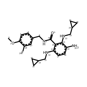 COc1ccc(CNC(=O)c2c(NCC3CC3)ccc(N)c2NCC2CC2)cc1F